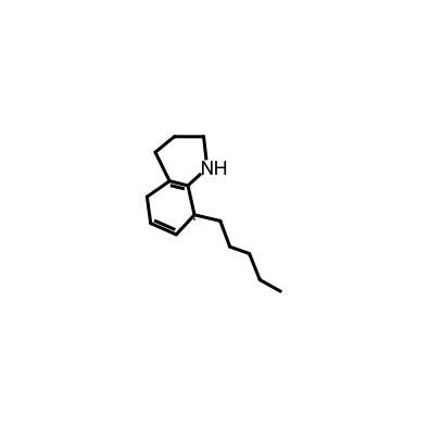 CCCCC[C]1C=CCC2=C1NCCC2